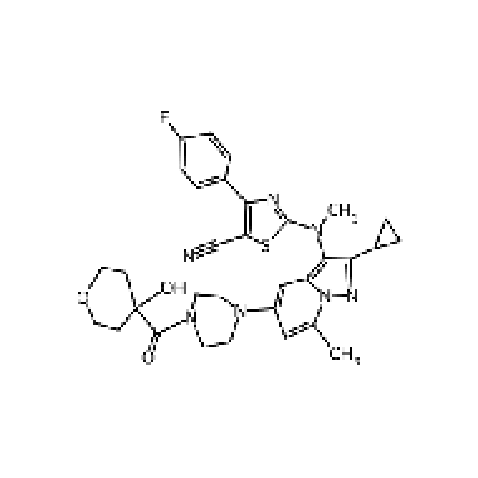 Cc1cc(N2CCN(C(=O)C3(O)CCOCC3)CC2)cc2c(N(C)c3nc(-c4ccc(F)cc4)c(C#N)s3)c(C3CC3)nn12